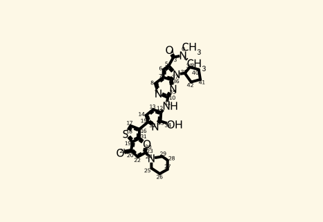 CN(C)C(=O)c1cc2cnc(Nc3ccc(-c4csc5c(=O)cc(N6CCCCC6)oc45)nc3O)nc2n1C1CCCC1